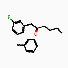 CCCCC(=O)Cc1cccc(F)c1.Cc1ccccc1